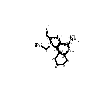 CC(C)Cn1c(CCl)nc2c(N)nc3c(c21)CCCC3.Cl